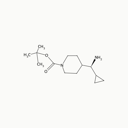 CC(C)(C)OC(=O)N1CCC([C@@H](N)C2CC2)CC1